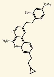 CCc1cc(OC)ccc1CCc1cnc2c(N)nc3cc(CCC4CC4)ccc3c2c1